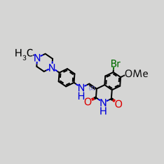 COc1cc2c(cc1Br)/C(=C/Nc1ccc(N3CCN(C)CC3)cc1)C(=O)NC2=O